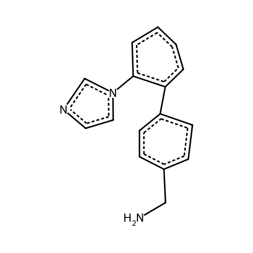 NCc1ccc(-c2ccccc2-n2ccnc2)cc1